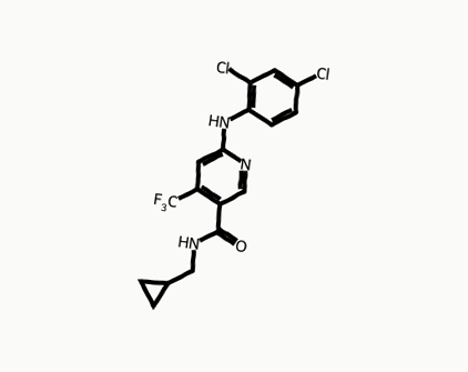 O=C(NCC1CC1)c1cnc(Nc2ccc(Cl)cc2Cl)cc1C(F)(F)F